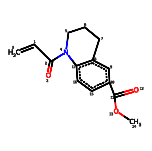 C=CC(=O)N1CCCc2cc(C(=O)OC)ccc21